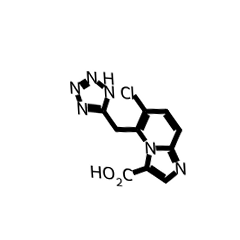 O=C(O)c1cnc2ccc(Cl)c(Cc3nnn[nH]3)n12